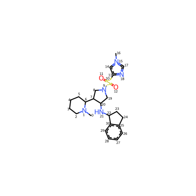 CN1CCCCC1C1CN(S(=O)(=O)c2cn(C)cn2)CC1NC1CCc2ccccc21